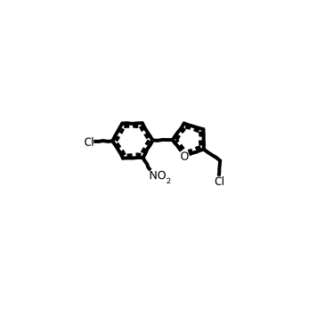 O=[N+]([O-])c1cc(Cl)ccc1-c1ccc(CCl)o1